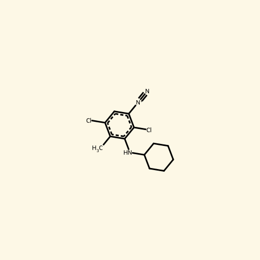 Cc1c(Cl)cc([N+]#N)c(Cl)c1NC1CCCCC1